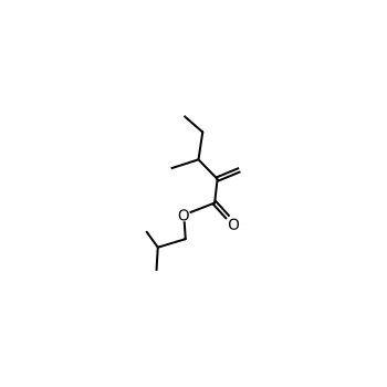 C=C(C(=O)OCC(C)C)C(C)CC